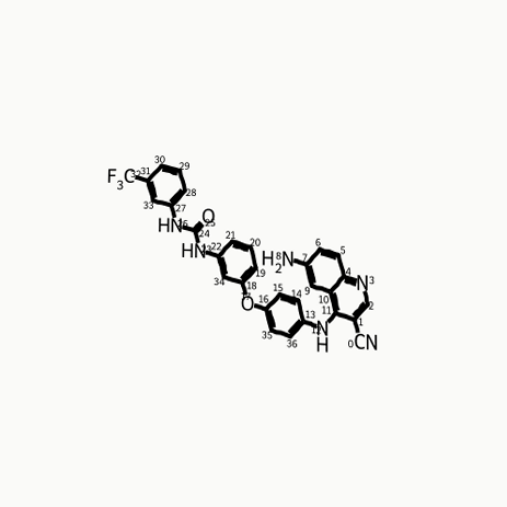 N#Cc1cnc2ccc(N)cc2c1Nc1ccc(Oc2cccc(NC(=O)Nc3cccc(C(F)(F)F)c3)c2)cc1